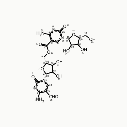 Nc1nc(=O)n([C@@H]2O[C@H](COC(=O)c3cn([C@@H]4O[C@H](CO)C(O)C4O)c(=O)nc3N)C(O)C2O)cc1C=O